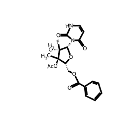 CC(=O)O[C@]1(C)[C@@H](COC(=O)c2ccccc2)O[C@@H](n2c(=O)cc[nH]c2=O)[C@]1(C)F